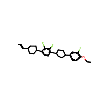 C/C=C/C1CCC(c2ccc(C3CCC(c4ccc(OCC)c(F)c4)CC3)c(F)c2F)CC1